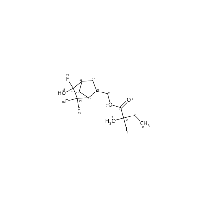 CCC(C)(I)C(=O)OCC1CC2CC1C(F)(F)C2(O)F